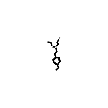 CCSN(CCF)CCc1ccc(CC)cc1